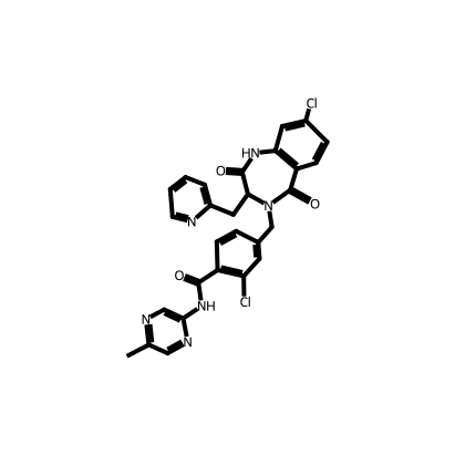 Cc1cnc(NC(=O)c2ccc(CN3C(=O)c4ccc(Cl)cc4NC(=O)C3Cc3ccccn3)cc2Cl)cn1